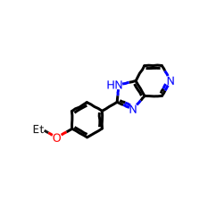 CCOc1ccc(-c2nc3cnccc3[nH]2)cc1